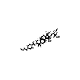 CCO[C@@H]([C@H]1C[C@@H](C)[C@H]2[C@H](O1)[C@H](O)[C@@]1(C)[C@@H]3CC[C@H]4C(C)(C)[C@@H](OC(=O)N5CCN(CCOC)CC5)CC[C@@]45C[C@@]35CC[C@]21C)C(C)(C)O